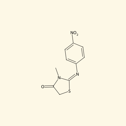 CN1C(=O)CS/C1=N/c1ccc([N+](=O)[O-])cc1